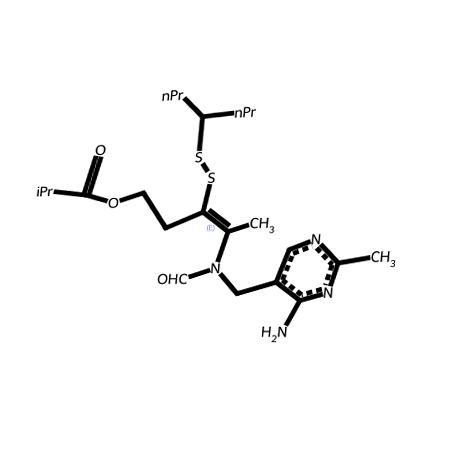 CCCC(CCC)SS/C(CCOC(=O)C(C)C)=C(\C)N(C=O)Cc1cnc(C)nc1N